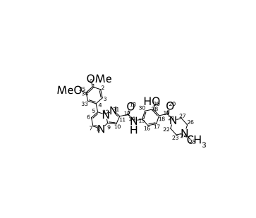 COc1ccc(-c2ccnc3cc(C(=O)Nc4ccc(C(=O)N5CCN(C)CC5)c(O)c4)nn23)cc1OC